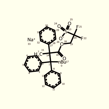 CCCCC(c1ccccc1)(c1ccccc1)C(C)(C(=O)OCC(F)(F)S(=O)(=O)[O-])c1ccccc1.[Na+]